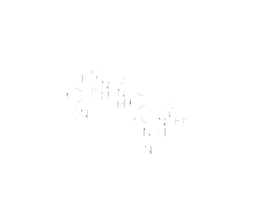 CCC(=O)N[C@@H](C(=O)N1CCN(C)CC1)[C@@H](C)c1ccc(NC(=O)[C@@H](NC(=O)C(F)(F)c2cccc(C#N)c2)C2CCCCC2)cc1